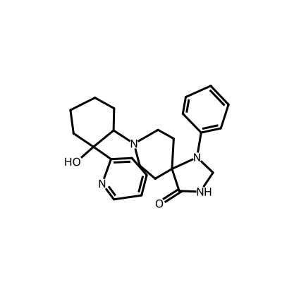 O=C1NCN(c2ccccc2)C12CCN(C1CCCCC1(O)c1ccccn1)CC2